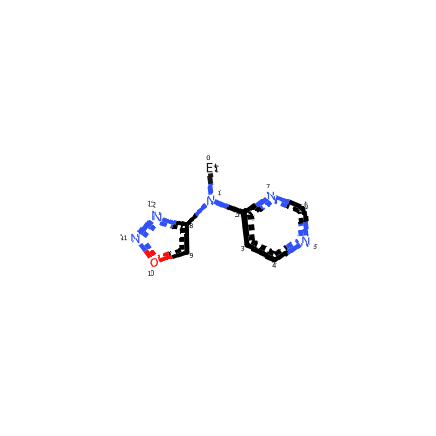 CCN(c1ccn[c]n1)c1conn1